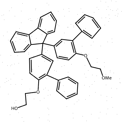 COCCOc1ccc(C2(c3ccc(OCCO)c(-c4ccccc4)c3)c3ccccc3-c3ccccc32)cc1-c1ccccc1